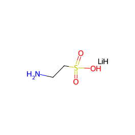 NCCS(=O)(=O)O.[LiH]